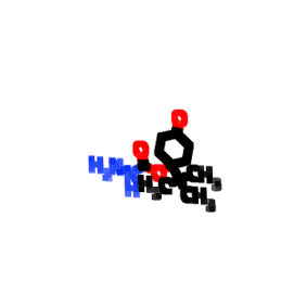 CC(C)(C)C1(OC(=O)NN)CCC(=O)CC1